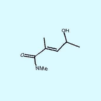 CNC(=O)C(C)=CC(C)O